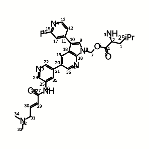 CC(C)C[C@H](N)C(=O)OCn1cc(-c2ccnc(F)c2)c2cc(-c3cncc(NC(=O)/C=C/CN(C)C)c3)cnc21